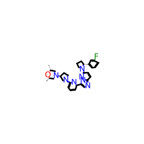 C[C@@H]1CN([C@H]2CCN(c3cccc(-c4cnc5ccc(N6CCC[C@@H]6c6cccc(F)c6)nn45)n3)C2)C[C@H](C)O1